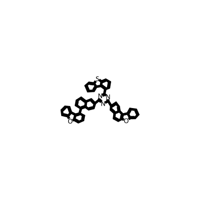 c1cc(-c2cccc3oc4ccccc4c23)c2ccc(-c3nc(-c4ccc5c(ccc6oc7ccccc7c65)c4)nc(-c4cccc5sc6ccccc6c45)n3)cc2c1